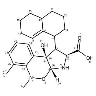 CN1O[C@H]2N[C@H](C(=O)O)C(C3CCCC4CCCC=C43)[C@@]2(O)c2cccc(Cl)c21